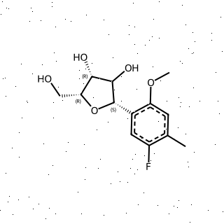 COc1cc(C)c(F)cc1[C@@H]1O[C@H](CO)[C@H](O)C1O